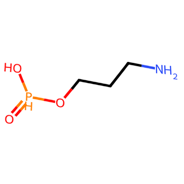 NCCCO[PH](=O)O